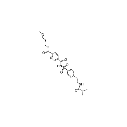 COCCCOC(=O)c1ccc(C(=O)NS(=O)(=O)c2ccc(CCNC(=O)C(C)C)cc2)cn1